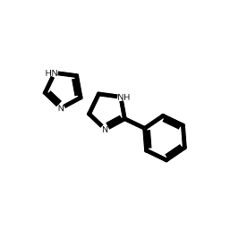 c1c[nH]cn1.c1ccc(C2=NCCN2)cc1